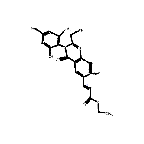 CCOC(=O)/C=C/c1cc2c(=O)n(-c3c(C)cc(Br)cc3C)c(CC)nc2cc1F